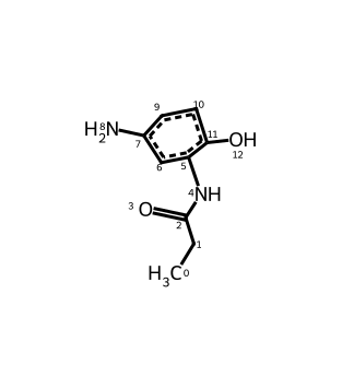 CCC(=O)Nc1cc(N)ccc1O